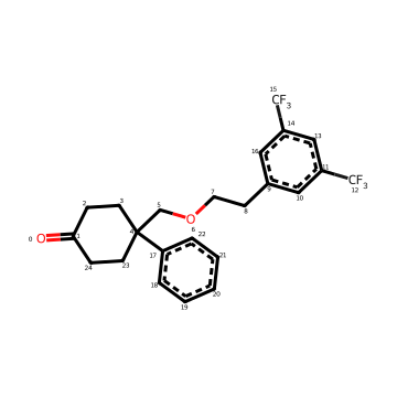 O=C1CCC(COCCc2cc(C(F)(F)F)cc(C(F)(F)F)c2)(c2ccccc2)CC1